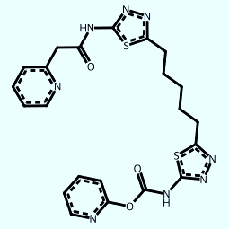 O=C(Cc1ccccn1)Nc1nnc(CCCCCc2nnc(NC(=O)Oc3ccccn3)s2)s1